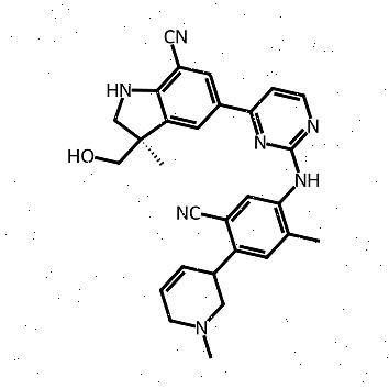 Cc1cc(C2C=CCN(C)C2)c(C#N)cc1Nc1nccc(-c2cc(C#N)c3c(c2)[C@@](C)(CO)CN3)n1